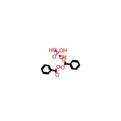 O=C(OOC(=O)c1ccccc1)c1ccccc1.O=P(O)(O)O